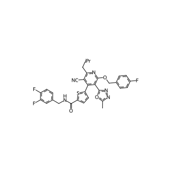 Cc1nnc(-c2c(OCc3ccc(F)cc3)nc(CC(C)C)c(C#N)c2-c2ccc(C(=O)NCc3ccc(F)c(F)c3)s2)o1